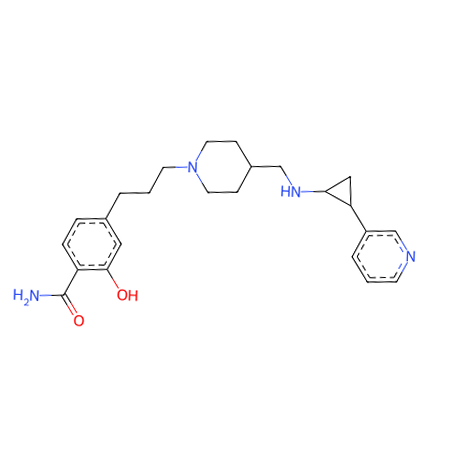 NC(=O)c1ccc(CCCN2CCC(CNC3CC3c3cccnc3)CC2)cc1O